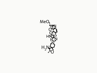 COCCn1cnc2ccc(Sc3n[nH]c4nc(N5CCC6(CC5)CO[C@@H](C)[C@H]6N)cnc34)c(Cl)c2c1=O